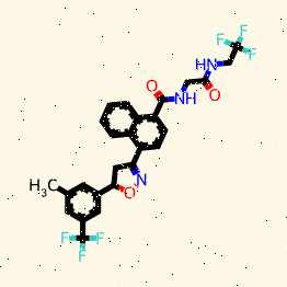 Cc1cc(C2CC(c3ccc(C(=O)NCC(=O)NCC(F)(F)F)c4ccccc34)=NO2)cc(C(F)(F)F)c1